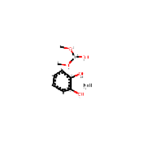 COB(O)OC.Oc1ccccc1O.[NaH]